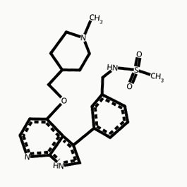 CN1CCC(COc2ccnc3[nH]cc(-c4cccc(CNS(C)(=O)=O)c4)c23)CC1